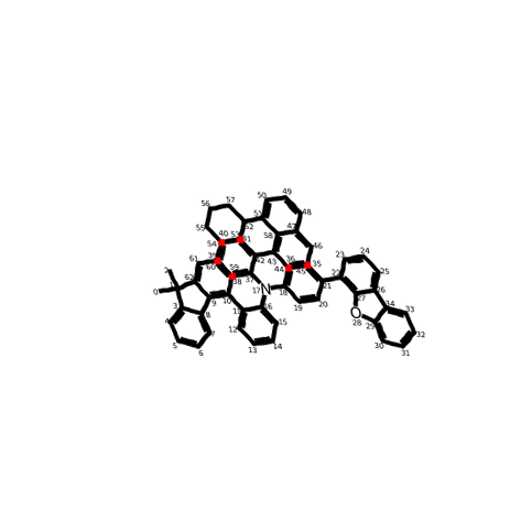 CC1(C)c2ccccc2-c2c(-c3ccccc3N(c3ccc(-c4cccc5c4oc4ccccc45)cc3)c3ccccc3-c3cccc4cccc(C5CCCCC5)c34)cccc21